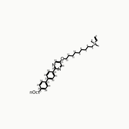 C=C[Si](C)(C)CCCCCCCCCOc1cnc(-c2ccc(-c3ccc(CCCCCCCC)cc3)cc2)nc1